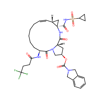 O=C(CCC(F)(F)F)N[C@H]1CCCCC/C=C\[C@@H]2C[C@@]2(C(=O)NS(=O)(=O)C2CC2)NC(=O)[C@@H]2C[C@@H](OC(=O)N3Cc4ccccc4C3)CN2C1=O